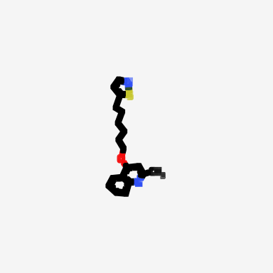 Cc1cc(OCCCCCCc2ccns2)c2ccccc2n1